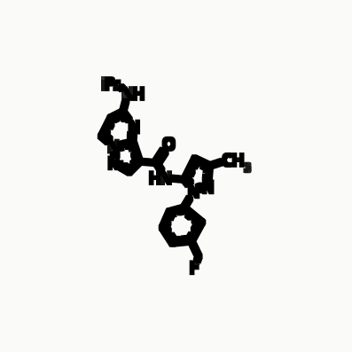 Cc1cc(NC(=O)c2cnn3ccc(NC(C)C)nc23)n(-c2cccc(CF)c2)n1